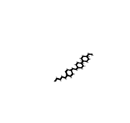 CCCCCC1CCC(CCC2CCC(C3CCC(CC)CC3)CC2)CC1